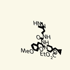 CCOC(=O)OC1(CC2CC2)CCN(C(=O)C(Cc2ccc(OC)cc2)NC(=O)NCCc2c[nH]cn2)CC1